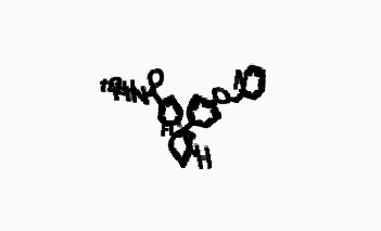 CC(C)(C)NC(=O)c1ccc([C@]2(c3ccc(OCc4ccccn4)cc3)C[C@@H]3CC[C@H]2C3)cc1